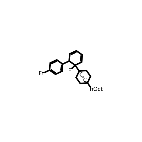 CCCCCCCCC12CCC(C3(F)C=CC=CC3c3ccc(CC)cc3)(CC1)CC2